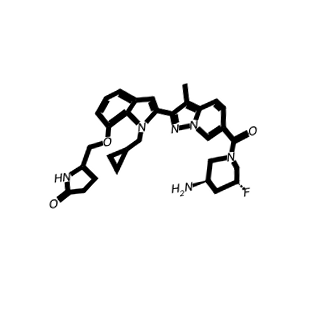 Cc1c(-c2cc3cccc(OCC4CCC(=O)N4)c3n2CC2CC2)nn2cc(C(=O)N3C[C@H](N)C[C@@H](F)C3)ccc12